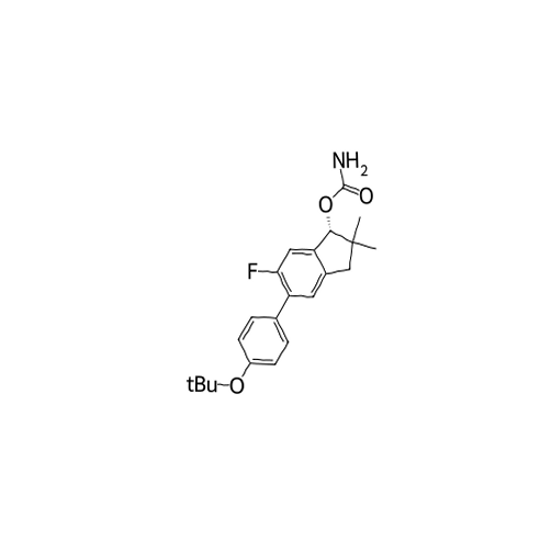 CC(C)(C)Oc1ccc(-c2cc3c(cc2F)[C@H](OC(N)=O)C(C)(C)C3)cc1